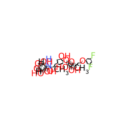 CC(=Cc1ccc(O[C@@H]2O[C@H](C(C)=CCOc3cc(F)cc(F)c3)[C@@H](O)[C@@H]2O)c(O)c1)C(=O)N[C@@H]1[C@H](O)[C@@H](O)[C@H]2OCO[C@H]2[C@@H]1O